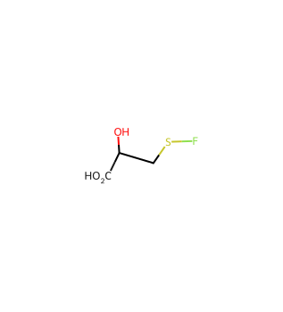 O=C(O)C(O)CSF